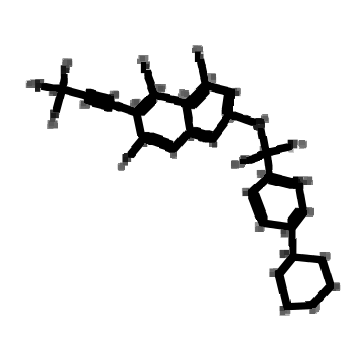 Fc1cc2cc(OC(F)(F)c3ccc(C4CCCCC4)cn3)cc(F)c2c(F)c1C#CC(F)(F)F